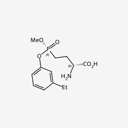 CCc1cccc(O[P@@](=O)(CC[C@@H](N)C(=O)O)OC)c1